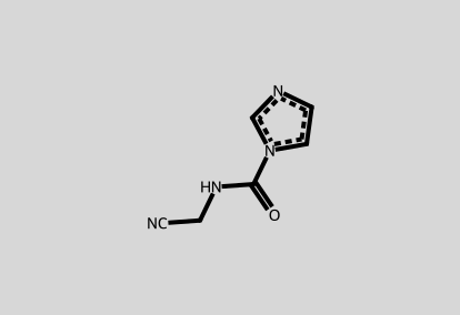 N#CCNC(=O)n1ccnc1